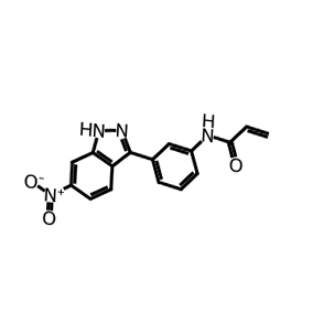 C=CC(=O)Nc1cccc(-c2n[nH]c3cc([N+](=O)[O-])ccc23)c1